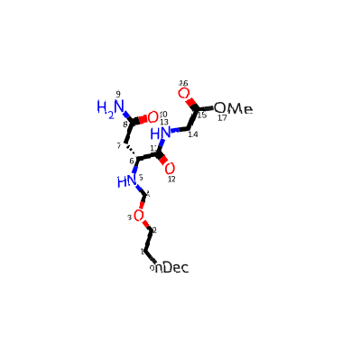 CCCCCCCCCCCCOCN[C@H](CC(N)=O)C(=O)NCC(=O)OC